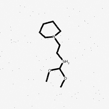 COC(OC)[SiH2]CCN1CCCCC1